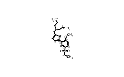 CCCN(CCC)Cc1ccc(-c2cc(S(=O)(=O)CC)ccc2OC)[nH]1